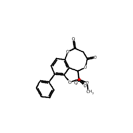 COC(=O)C12OC(=O)CC(=O)Oc3ccc(-c4ccccc4)c(c31)OC2=O